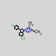 CCCN1CCN(C2CC(c3ccc(F)cc3)c3ccc(Cl)cc32)CC1C